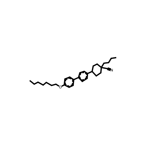 CCCCCCCOc1ccc(-c2ccc(C3CCC(C#N)(CCCC)CC3)cc2)cc1